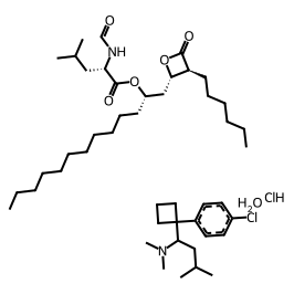 CC(C)CC(N(C)C)C1(c2ccc(Cl)cc2)CCC1.CCCCCCCCCCC[C@@H](C[C@@H]1OC(=O)[C@H]1CCCCCC)OC(=O)[C@H](CC(C)C)NC=O.Cl.O